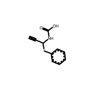 C#CC(NC(=O)O)[I]c1ccccc1